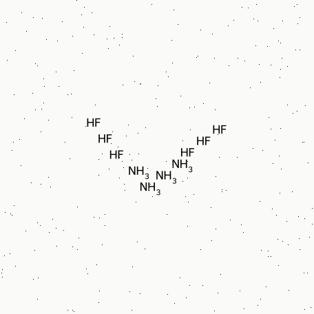 F.F.F.F.F.F.N.N.N.N